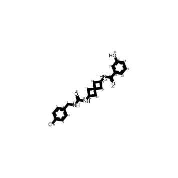 O=C(NCc1ccc(Cl)cc1)NC1CC2(C1)CC(NC(=O)c1cccc(O)c1)C2